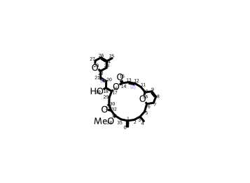 C=C1CC(C)CC2CC=CC(C/C=C\C(=O)OC(C(O)/C=C/C3CC(C)=CCO3)CC3OC3C(OC)C1)O2